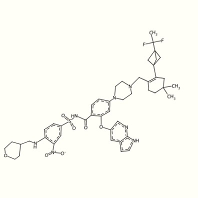 CC1(C)CCC(CN2CCN(c3ccc(C(=O)NS(=O)(=O)c4ccc(NCC5CCOCC5)c([N+](=O)[O-])c4)c(Oc4cnc5[nH]ccc5c4)c3)CC2)=C(C23CC(C(C)(F)F)(C2)C3)C1